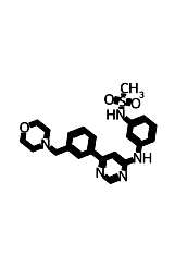 CS(=O)(=O)Nc1cccc(Nc2cc(-c3cccc(CN4CCOCC4)c3)ncn2)c1